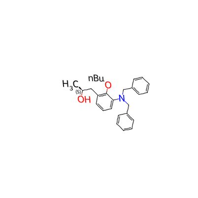 CCCCOc1c(C[C@H](C)O)cccc1N(Cc1ccccc1)Cc1ccccc1